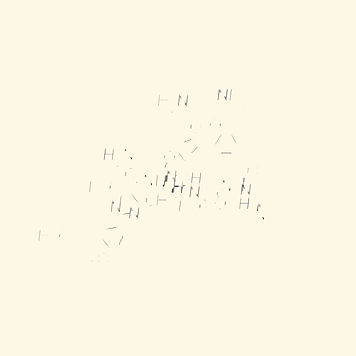 CCCCC1(Oc2ccc(-c3nc(C)c(C(=O)N[C@@H](CCN)C(=O)N(C)[C@@H]4C(=O)N[C@@H](C)C(=O)N[C@H](C(=O)NCC#N)Cc5ccc(OCCN)c(c5)-c5cc4ccc5OCCN)c(C)n3)cc2)CC1